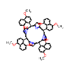 COc1ccc(-c2c3nc(c(-c4ccc(OC)c5cccc(O)c45)c4ccc([nH]4)c(-c4ccc(OC)c5cccc(O)c45)c4nc(c(-c5ccc(OC)c6cccc(O)c56)c5ccc2[nH]5)C=C4)C=C3)c2c(O)cccc12